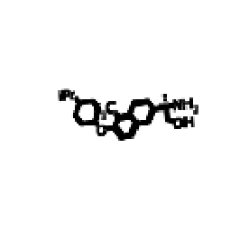 CC(C)C1CCC(Oc2ccc3cc([C@@](C)(N)CO)ccc3c2C(F)(F)F)CC1